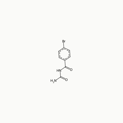 NC(=O)NC(=O)c1ccc(Br)cc1